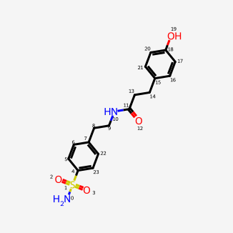 NS(=O)(=O)c1ccc(CCNC(=O)CCc2ccc(O)cc2)cc1